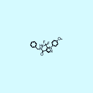 COc1ccc(-n2ncc(C(=O)NCc3ccccc3)c2C(F)(F)F)cc1